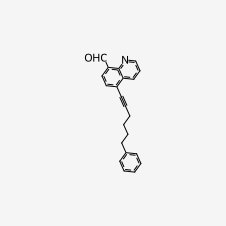 O=Cc1ccc(C#CCCCCc2ccccc2)c2cccnc12